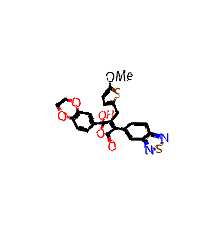 COc1ccc(CC2=C(c3ccc4nsnc4c3)C(=O)OC2(O)c2ccc3c(c2)OCCO3)s1